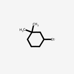 C[CH]C1CCCC(C)(C)C1